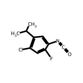 CC(C)c1cc(N=C=O)c(F)cc1Cl